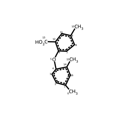 Cc1ccc(Oc2ccc(C)cc2C(=O)O)c(C)c1